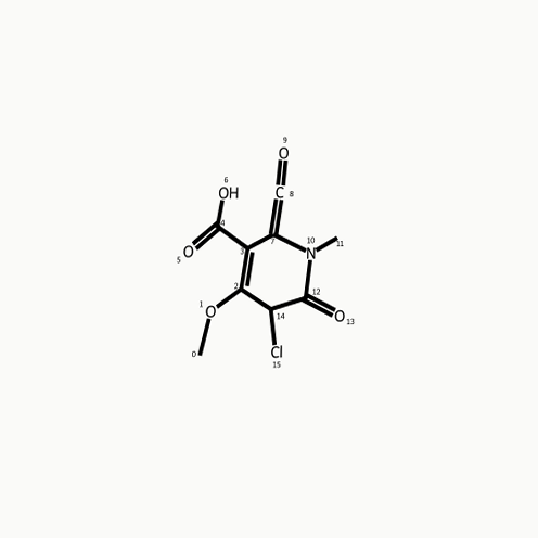 COC1=C(C(=O)O)C(=C=O)N(C)C(=O)C1Cl